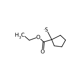 CCOC(=O)C1([S])CCCC1